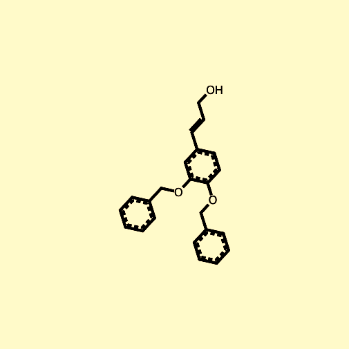 OCC=Cc1ccc(OCc2ccccc2)c(OCc2ccccc2)c1